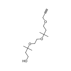 C#CCOCCC(C)(C)OCCOC(C)(C)CCO